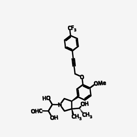 COc1ccc([C@@H]2CN(C(O)C(O)C=O)C[C@@]2(C)[C@@H](C)O)cc1OCC#Cc1ccc(C(F)(F)F)cc1